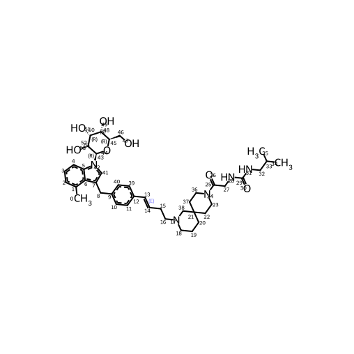 Cc1cccc2c1c(Cc1ccc(/C=C/CCN3CCCC4(CCN(C(=O)CNC(=O)NCC(C)C)CC4)C3)cc1)cn2[C@@H]1O[C@H](CO)[C@@H](O)[C@@H](O)[C@@H]1O